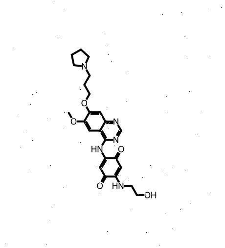 COc1cc2c(NC3=CC(=O)C(NCCO)=CC3=O)ncnc2cc1OCCCN1CCCC1